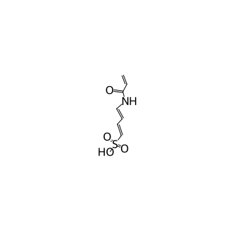 C=CC(=O)NC=CC=CS(=O)(=O)O